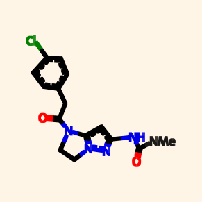 CNC(=O)Nc1cc2n(n1)CCN2C(=O)Cc1ccc(Cl)cc1